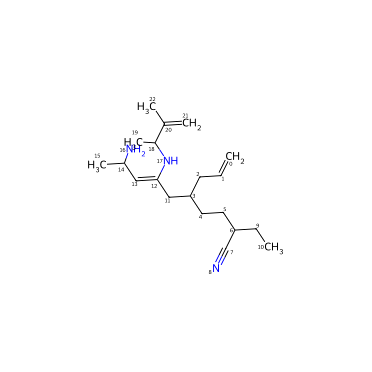 C=CCC(CCC(C#N)CC)C/C(=C/C(C)N)NC(C)C(=C)C